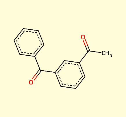 CC(=O)c1cccc(C(=O)c2ccccc2)c1